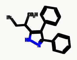 CC(C)CC(C(=O)O)c1[nH]nc(-c2ccccc2)c1-c1ccccc1